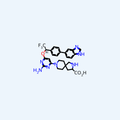 Nc1nc(O[C@H](c2ccc(-c3ccc4[nH]cnc4c3)cc2)C(F)(F)F)cc(N2CCC3(CC2)CNC(C(=O)O)C3)n1